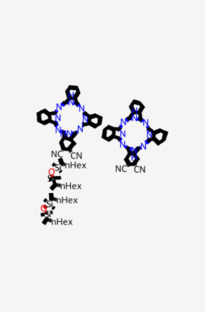 C=C(CCCCCC)[Si](C)(C)O[Si](C)(C)C(=C)CCCCCC.C=C(CCCCCC)[Si](C)(C)O[Si](C)(C)C(=C)CCCCCC.N#Cc1cc2c3nc4nc(nc5[nH]c(nc6nc(nc([nH]3)c2cc1C#N)-c1ccccc1-6)c1ccccc51)-c1ccccc1-4.N#Cc1cc2c3nc4nc(nc5[nH]c(nc6nc(nc([nH]3)c2cc1C#N)-c1ccccc1-6)c1ccccc51)-c1ccccc1-4